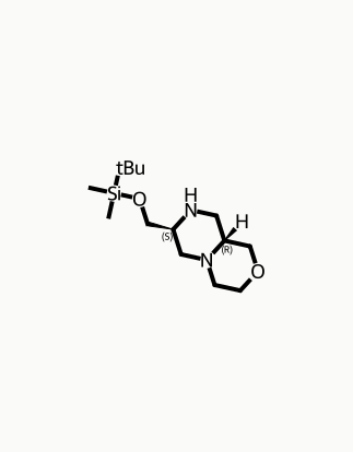 CC(C)(C)[Si](C)(C)OC[C@@H]1CN2CCOC[C@H]2CN1